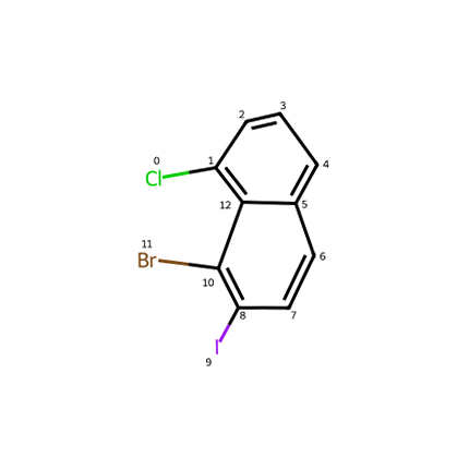 Clc1cccc2ccc(I)c(Br)c12